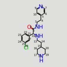 O=C(NCCc1ccncc1)[C@@H](NCCC1CCNCC1)c1cccc(Cl)c1